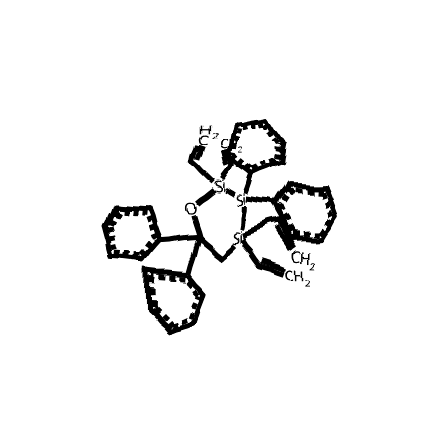 C=C[Si]1(C=C)CC(c2ccccc2)(c2ccccc2)O[Si](C=C)(C=C)[Si]1(c1ccccc1)c1ccccc1